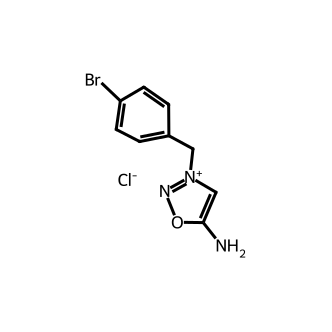 Nc1c[n+](Cc2ccc(Br)cc2)no1.[Cl-]